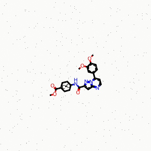 COC(=O)C12CCC(NC(=O)c3cc4nccc(-c5ccc(OC)c(OC)c5)n4n3)(CC1)CC2